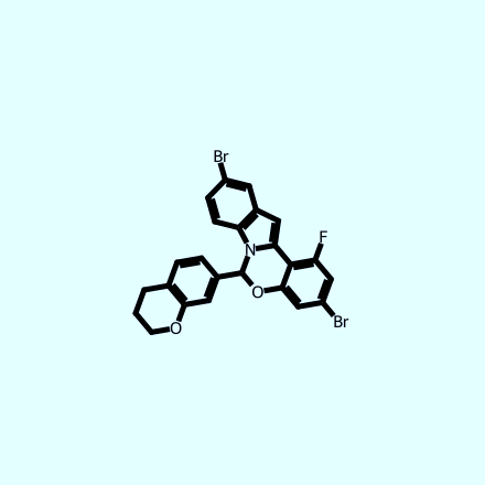 Fc1cc(Br)cc2c1-c1cc3cc(Br)ccc3n1C(c1ccc3c(c1)OCCC3)O2